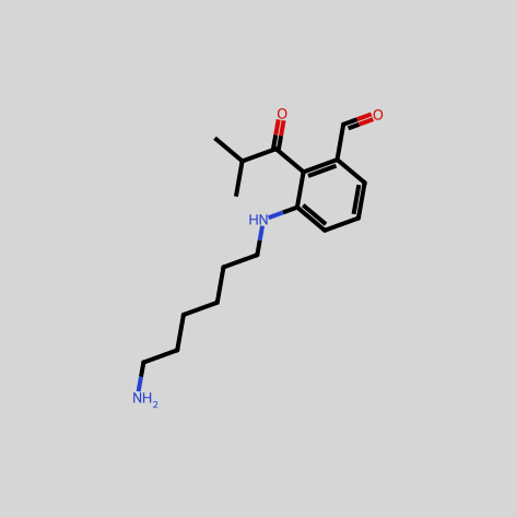 CC(C)C(=O)c1c(C=O)cccc1NCCCCCCN